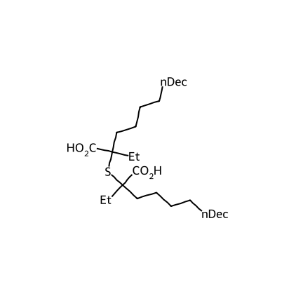 CCCCCCCCCCCCCCC(CC)(SC(CC)(CCCCCCCCCCCCCC)C(=O)O)C(=O)O